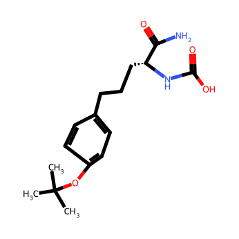 CC(C)(C)Oc1ccc(CCC[C@@H](NC(=O)O)C(N)=O)cc1